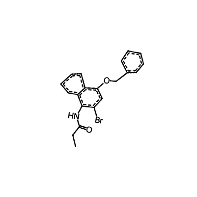 CCC(=O)Nc1c(Br)cc(OCc2ccccc2)c2ccccc12